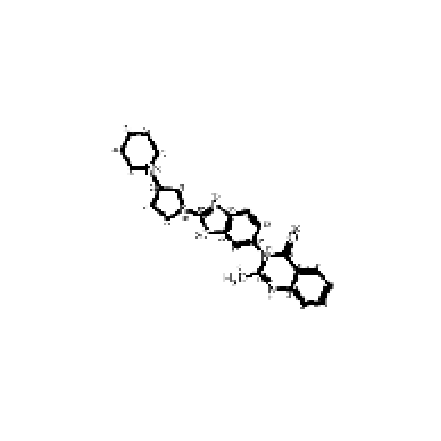 Cc1nc2ccccc2c(=O)n1-c1ccc2nc(N3CCC(N4CCCCC4)C3)sc2c1